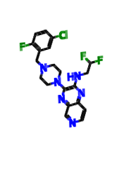 Fc1ccc(Cl)cc1CN1CCN(c2nc3cnccc3nc2NCC(F)F)CC1